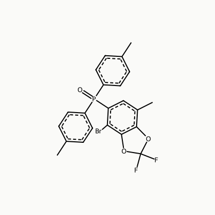 Cc1ccc(P(=O)(c2ccc(C)cc2)c2cc(C)c3c(c2Br)OC(F)(F)O3)cc1